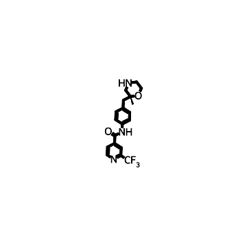 C[C@@]1(Cc2ccc(NC(=O)c3ccnc(C(F)(F)F)c3)cc2)CNCCO1